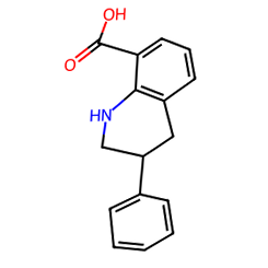 O=C(O)c1cccc2c1NCC(c1ccccc1)C2